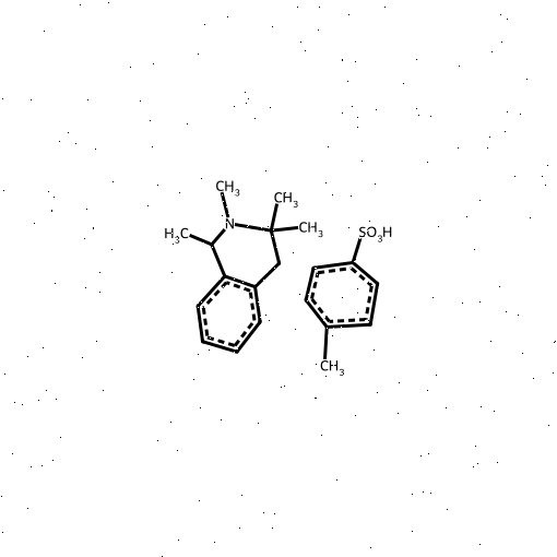 CC1c2ccccc2CC(C)(C)N1C.Cc1ccc(S(=O)(=O)O)cc1